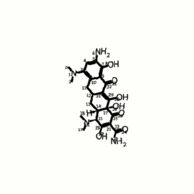 CN(C)c1cc(N)c(O)c2c1CC1C[C@H]3[C@H](N(C)C)C(O)=C(C(N)=O)C(=O)[C@@]3(O)C(O)=C1C2=O